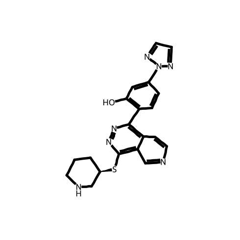 Oc1cc(-n2nccn2)ccc1-c1nnc(S[C@@H]2CCCNC2)c2cnccc12